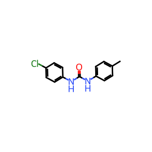 Cc1ccc(NC(=O)Nc2ccc(Cl)cc2)cc1